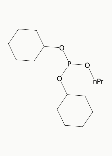 CCCOP(OC1CCCCC1)OC1CCCCC1